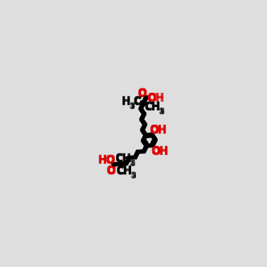 CC(C)(CCCCCc1cc(CCCCCC(C)(C)C(=O)O)c(O)cc1O)C(=O)O